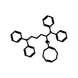 C1=CCC[C]([Rh][CH](CCCP(c2ccccc2)c2ccccc2)P(c2ccccc2)c2ccccc2)=CCC1